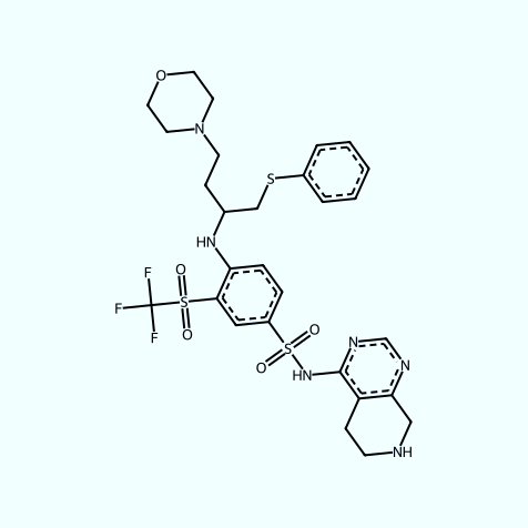 O=S(=O)(Nc1ncnc2c1CCNC2)c1ccc(NC(CCN2CCOCC2)CSc2ccccc2)c(S(=O)(=O)C(F)(F)F)c1